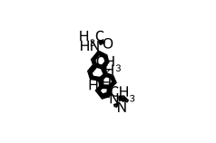 CC(=O)N[C@@H]1CC[C@@]2(C)C(=CC[C@@H]3[C@@H]2CC[C@]2(C)C(n4ccnc4)=CC[C@@H]32)C1